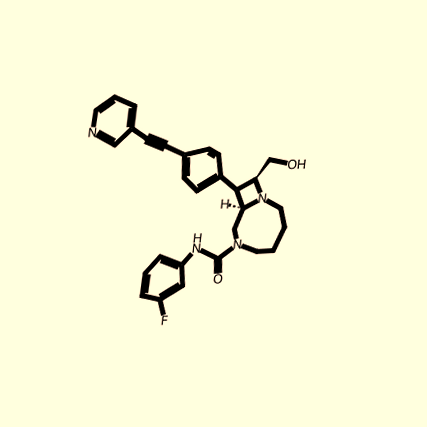 O=C(Nc1cccc(F)c1)N1CCCCN2[C@H](CO)C(c3ccc(C#Cc4cccnc4)cc3)[C@@H]2C1